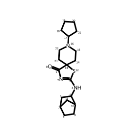 O=C1N=C(NC2CC3CCC2C3)SC12CCN(C1CCCC1)CC2